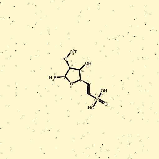 B[C@@H]1O[C@H](/C=C/P(=O)(O)O)C(O)[C@@H]1OCCC